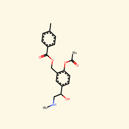 Cc1ccc(C(=O)OCc2cc(C(O)CNC(C)(C)C)ccc2OC(=O)C(C)(C)C)cc1